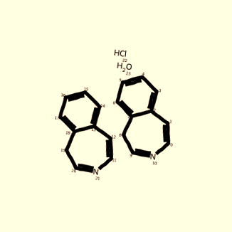 C1=Cc2ccccc2CC=N1.C1=Cc2ccccc2CC=N1.Cl.O